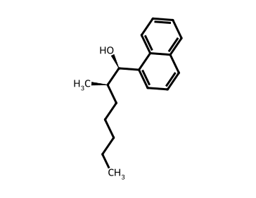 CCCCC[C@@H](C)[C@@H](O)c1cccc2ccccc12